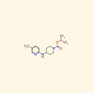 O=C(OC(C(F)(F)F)C(F)(F)F)N1CCC(Nc2ccc(C(F)(F)F)cn2)CC1